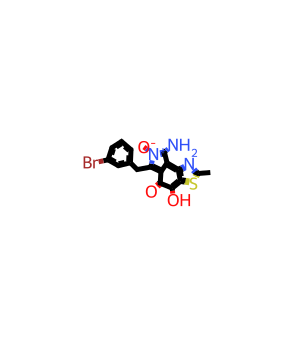 Cc1nc2c(s1)=C(O)C(=O)C1=C(Cc3cccc(Br)c3)[N+]([O-])=C(N)C=21